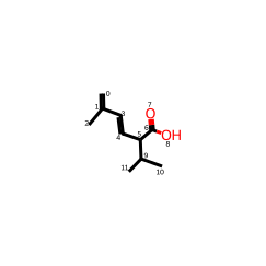 C=C(C)C=CC(C(=O)O)C(C)C